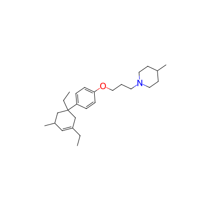 CCC1=CC(C)CC(CC)(c2ccc(OCCCN3CCC(C)CC3)cc2)C1